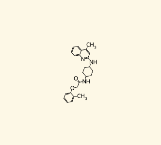 Cc1ccccc1OCC(=O)NC1CCC(Nc2cc(C)c3ccccc3n2)CC1